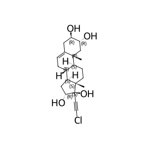 C[C@]12C[C@@H](O)[C@H](O)CC1=CC[C@@H]1[C@@H]2CC[C@@]2(C)[C@H]1C[C@@H](O)[C@@]2(O)C#CCl